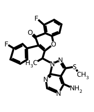 CSc1nn(C(C)c2oc3cccc(F)c3c(=O)c2-c2cccc(F)c2)c2ncnc(N)c12